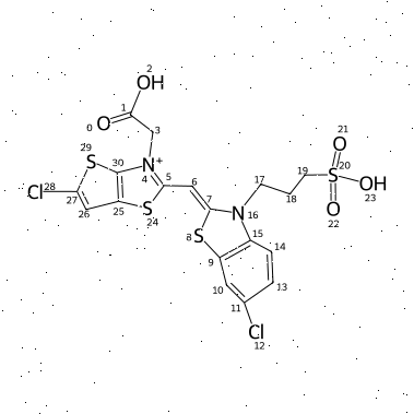 O=C(O)C[n+]1c(/C=C2\Sc3cc(Cl)ccc3N2CCCS(=O)(=O)O)sc2cc(Cl)sc21